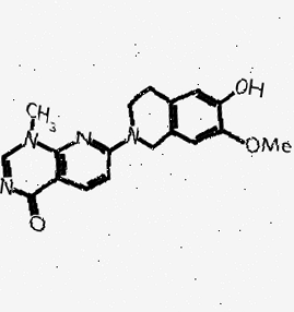 COc1cc2c(cc1O)CCN(c1ccc3c(=O)ncn(C)c3n1)C2